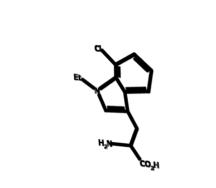 CCn1cc(CC(N)C(=O)O)c2cccc(Cl)c21